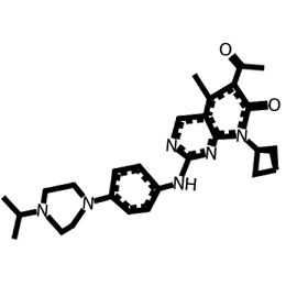 CC(=O)c1c(C)c2cnc(Nc3ccc(N4CCN(C(C)C)CC4)cc3)nc2n(C23CC(C2)C3)c1=O